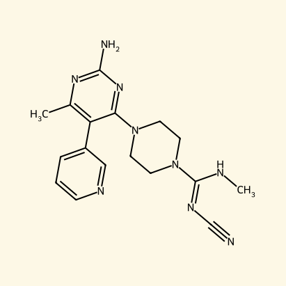 CN/C(=N\C#N)N1CCN(c2nc(N)nc(C)c2-c2cccnc2)CC1